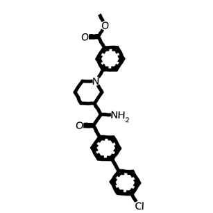 COC(=O)c1cccc(N2CCCC(C(N)C(=O)c3ccc(-c4ccc(Cl)cc4)cc3)C2)c1